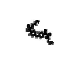 CC(C)CCOC(=O)Nc1ccc(Cc2ccc(NC(=O)OCCC(C)C)cc2)cc1